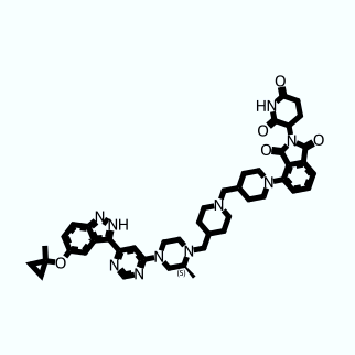 C[C@H]1CN(c2cc(-c3[nH]nc4ccc(OC5(C)CC5)cc34)ncn2)CCN1CC1CCN(CC2CCN(c3cccc4c3C(=O)N(C3CCC(=O)NC3=O)C4=O)CC2)CC1